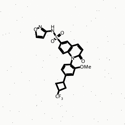 COc1cc(C2CC(C(F)(F)F)C2)ccc1-n1c(=O)ccc2cc(S(=O)(=O)Nc3ccon3)ccc21